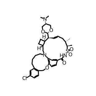 C[C@@H]1[C@@H](C)C/C=C/[C@H]([C@H]2OC[C@@H](N(C)C)CO2)[C@@H]2CC[C@H]2CN2CCCCc3cc(Cl)ccc3COc3ccc(cc32)C(=O)NS1(=O)=O